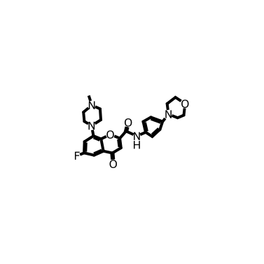 CN1CCN(c2cc(F)cc3c(=O)cc(C(=O)Nc4ccc(N5CCOCC5)cc4)oc23)CC1